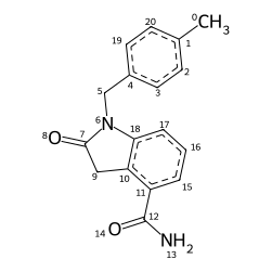 Cc1ccc(CN2C(=O)Cc3c(C(N)=O)cccc32)cc1